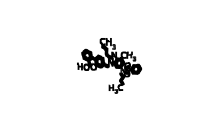 CCCCCN(c1cc(C)c2nc(CCCC)n(Cc3ccc(-c4ccccc4C(=O)O)cc3)c2c1)S(=O)(=O)c1ccccc1